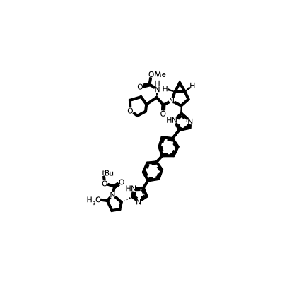 COC(=O)N[C@H](C(=O)N1[C@@H]2C[C@@H]2C[C@H]1c1ncc(-c2ccc(-c3ccc(-c4cnc([C@@H]5CCC(C)N5C(=O)OC(C)(C)C)[nH]4)cc3)cc2)[nH]1)C1CCOCC1